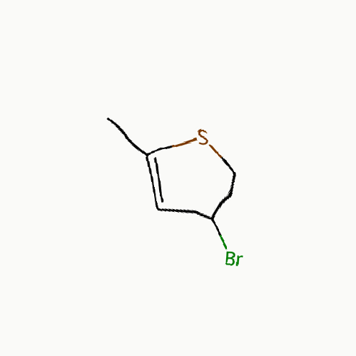 CC1=CC(Br)CS1